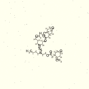 CCCCN(CCOC(=O)CC1CC2OC2CC1C)SSN(CCCC)CCOC(=O)CC1CC2OC2CC1C